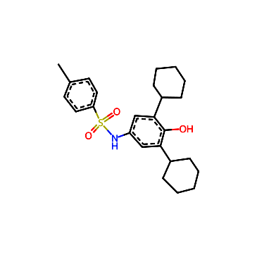 Cc1ccc(S(=O)(=O)Nc2cc(C3CCCCC3)c(O)c(C3CCCCC3)c2)cc1